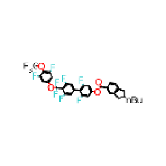 CCCCC1Cc2ccc(C(=O)Oc3cc(F)c(-c4cc(F)c(C(F)(F)Oc5cc(F)c(OC(F)(F)F)c(F)c5)c(F)c4)c(F)c3)cc2C1